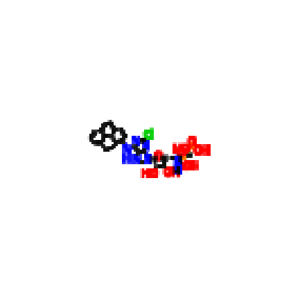 O=P(O)(O)CP(=O)(O)NC[C@H]1O[C@@H](n2cnc3c(Nc4ccc5ccc6cccc7ccc4c5c67)nc(Cl)nc32)C(O)C1O